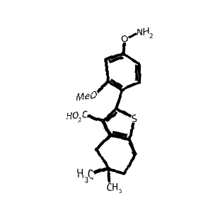 COc1cc(ON)ccc1-c1sc2c(c1C(=O)O)CC(C)(C)CC2